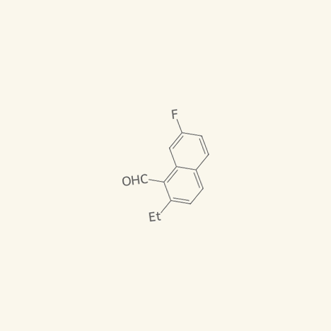 CCc1ccc2ccc(F)cc2c1C=O